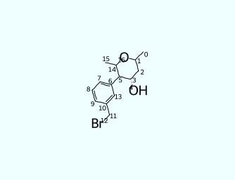 CC1C[C@H](O)C(c2cccc(CBr)c2)C(C)O1